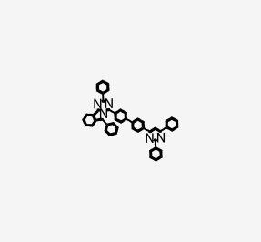 c1ccc(-c2cc(-c3ccc(-c4ccc(-c5nc(-c6ccccc6)nc6c7ccccc7c(-c7ccccc7)n56)cc4)cc3)nc(-c3ccccc3)n2)cc1